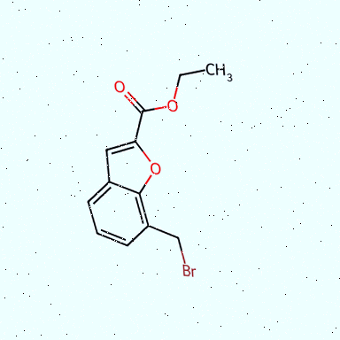 CCOC(=O)c1cc2cccc(CBr)c2o1